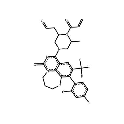 C=CC(=O)N1C(C)CN(c2nc(=O)n3c4c(c(-c5ccc(F)cc5F)c(C(F)(F)F)cc24)OCCC3)CC1CC=O